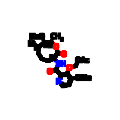 CC[C@H]1CCC[C@H](NC(=O)c2nccc(OC)c2OCOC(C)=O)C(=O)O[C@@H](C)[C@@H]1OCC(C)C